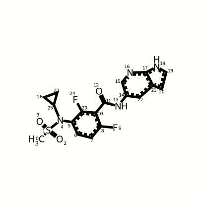 CS(=O)(=O)N(c1ccc(F)c(C(=O)Nc2cnc3[nH]ccc3c2)c1F)C1CC1